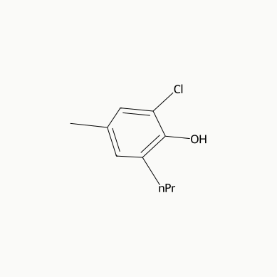 CCCc1cc(C)cc(Cl)c1O